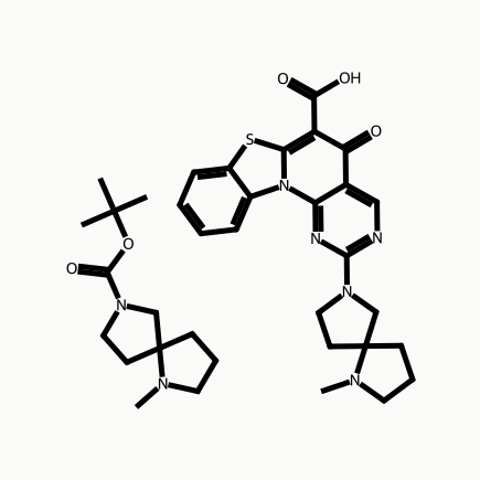 CN1CCCC12CCN(C(=O)OC(C)(C)C)C2.CN1CCCC12CCN(c1ncc3c(=O)c(C(=O)O)c4sc5ccccc5n4c3n1)C2